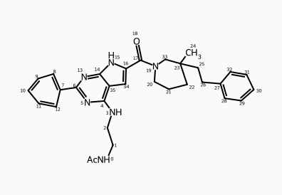 CC(=O)NCCNc1nc(-c2ccccc2)nc2[nH]c(C(=O)N3CCCC(C)(CCc4ccccc4)C3)cc12